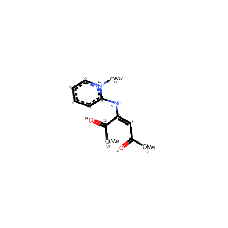 COC(=O)C=C(Nc1cccc[n+]1OC)C(=O)OC